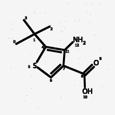 CC(C)(C)c1scc(C(=O)O)c1N